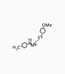 COc1ccc(SSCC/N=N\Nc2ccc(C)cc2)cc1